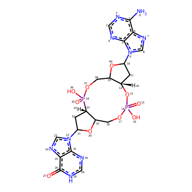 Nc1ncnc2c1ncn2C1C[C@@H]2OP(=O)(O)OCC3OC(n4cnc5c(=O)[nH]cnc54)C[C@@H]3P(=O)(O)OCC2O1